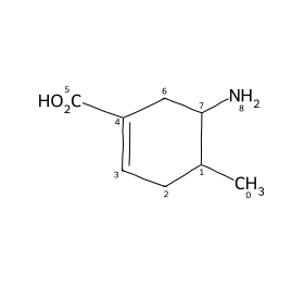 CC1CC=C(C(=O)O)CC1N